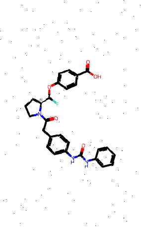 O=C(Nc1ccccc1)Nc1ccc(CC(=O)N2CCC[C@H]2C(F)Oc2ccc(C(=O)O)cc2)cc1